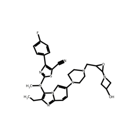 CCc1nc2ccc(N3CCN(CC4OC4N4CC(O)C4)CC3)cn2c1N(C)c1nc(-c2ccc(F)cc2)c(C#N)s1